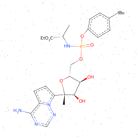 CCOC(=O)[C@H](C)NP(=O)(OC[C@H]1O[C@@](C)(c2ccc3c(N)ncnn23)[C@H](O)[C@@H]1O)Oc1ccc(C(C)(C)C)cc1